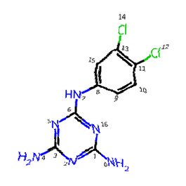 Nc1nc(N)nc(Nc2ccc(Cl)c(Cl)c2)n1